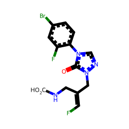 O=C(O)NC/C(=C\F)Cn1ncn(-c2ccc(Br)cc2F)c1=O